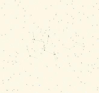 C=CCOC(=O)C12CC3(C(=O)O)CC(C(=O)O)(CC(C(=O)O)(C3)C1)C2